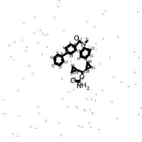 CN(C(=O)c1ccc(-c2ccccc2)cc1)c1ccc([C@@H]2C[C@H]2C(OC(N)=O)C2CC2)cc1